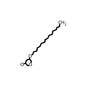 [CH2]CCCCCCCCCCCCCCCOC1COCC([O])C1